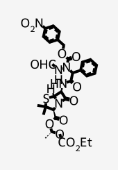 CCOC(=O)O[C@H](C)OC(=O)[C@@H]1N2C(=O)[C@H](NC(=O)C(c3ccccc3)N(NC=O)C(=O)OCc3ccc([N+](=O)[O-])cc3)[C@H]2SC1(C)C